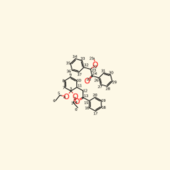 CCOC1(OCC)C=CC=CC1CC(=O)c1ccccc1.COC(C(=O)c1ccccc1)c1ccccc1